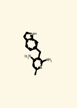 Cc1cc(N)c(Cc2ccc3cc[nH]c3c2)c(N)n1